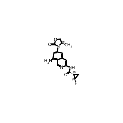 C[C@@H]1COC(=O)N1c1cc(N)c2cnc(NC(=O)[C@@H]3C[C@@H]3F)cc2c1